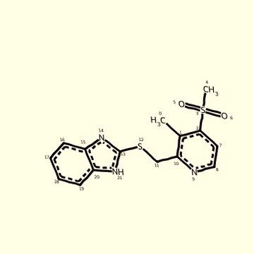 Cc1c(S(C)(=O)=O)ccnc1CSc1nc2ccccc2[nH]1